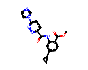 COC(=O)c1ccc(C2CC2)cc1NC(=O)c1ccc(-n2ccnc2)nn1